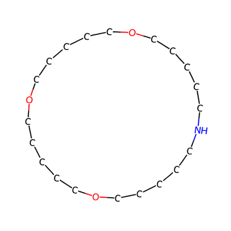 C1CCNCCCCCOCCCCCOCCCCCOCC1